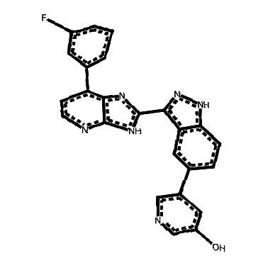 Oc1cncc(-c2ccc3[nH]nc(-c4nc5c(-c6cccc(F)c6)ccnc5[nH]4)c3c2)c1